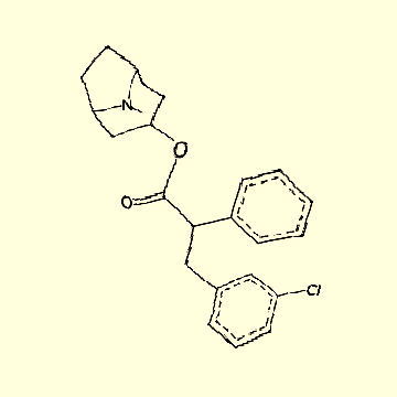 CN1C2CCC1CC(OC(=O)C(Cc1cccc(Cl)c1)c1ccccc1)C2